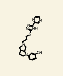 N#Cc1cccc(N2CCC3CN(CCCSc4nnc(-c5cnccn5)[nH]4)CC32)c1